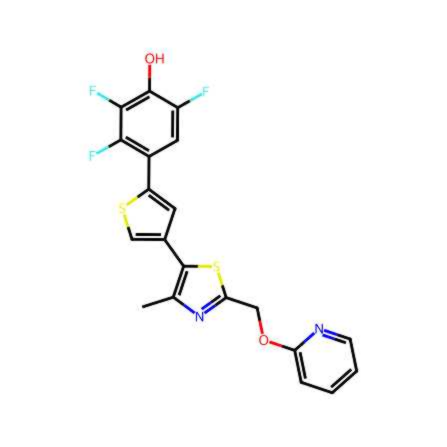 Cc1nc(COc2ccccn2)sc1-c1csc(-c2cc(F)c(O)c(F)c2F)c1